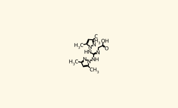 Cc1cc(C)n(NC(=NCC(=O)O)Nn2nc(C)cc2C)n1